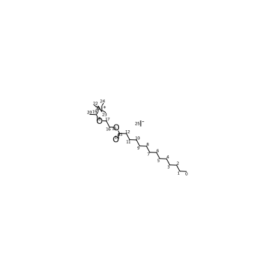 CCCCCCCCCCCCCC(=O)OCCOC(C)[N+](C)(C)C.[I-]